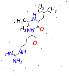 CC(C)CC(NC(C)C)C(=O)NC(C=O)CCCNC(=N)N